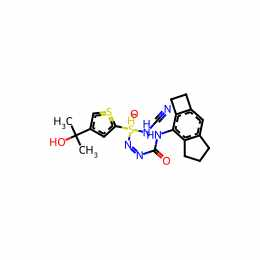 CC(C)(O)c1csc([SH](=O)(/N=N\C(=O)Nc2c3c(cc4c2CC4)CCC3)NC#N)c1